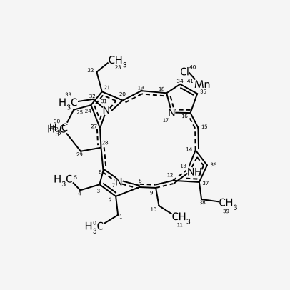 CCC1=C(CC)c2nc1c(CC)c1[nH]c(cc3nc(cc4c(CC)c(CC)c(c2CC)n4CC)C=C3)cc1CC.[Cl][Mn]